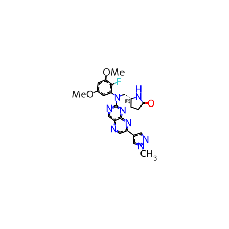 COc1cc(OC)c(F)c(N(C[C@H]2CCC(=O)N2)c2ncc3ncc(-c4cnn(C)c4)nc3n2)c1